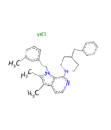 Cc1cccc(Cn2c(C)c(C)c3ccnc(N4CCC(Cc5ccccc5)CC4)c32)c1.Cl